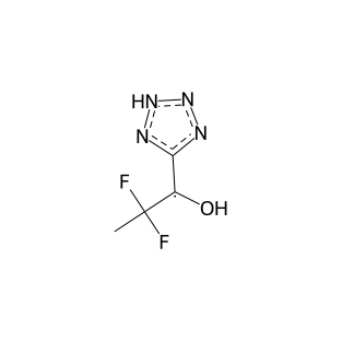 CC(F)(F)[C](O)c1nn[nH]n1